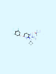 C[C@@H](C(N)=O)N(C)c1nc2ccc(Oc3cc(F)c(F)c(F)c3)nc2n1C1CCC1